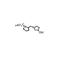 O=C(O)N1CCCC1CN1CCC(O)C1